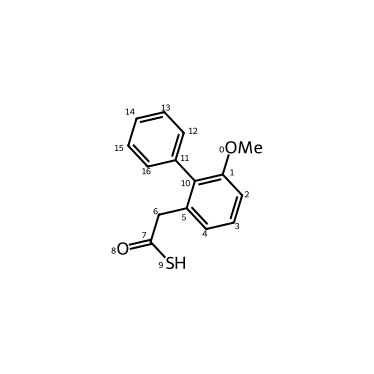 COc1cccc(CC(=O)S)c1-c1ccccc1